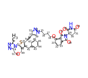 Cc1nnc2n1-c1sc(C#Cc3cnn(CCCCOc4cccc5c4C(=O)N(C4CCC(=O)NC4=O)C5=O)c3)c(Cc3ccccc3)c1COC2